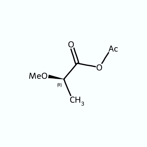 CO[C@H](C)C(=O)OC(C)=O